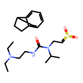 CCN(CC)CCNC(=O)N(CC=S(=O)=O)C(C)C.c1cc2c3c(c1)C2CC3